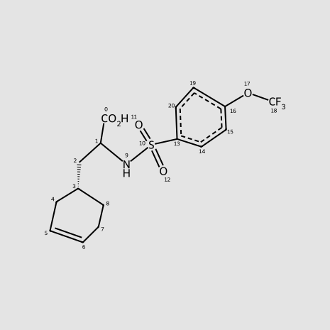 O=C(O)C(C[C@H]1CC=CCC1)NS(=O)(=O)c1ccc(OC(F)(F)F)cc1